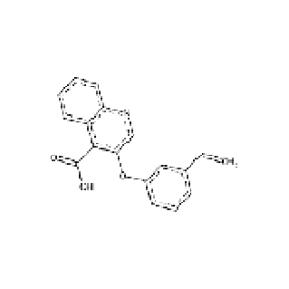 C=Cc1cccc(Oc2cnc3ccccc3c2C(=O)O)c1